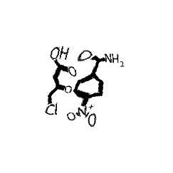 NC(=O)c1ccc([N+](=O)[O-])cc1.O=C(O)CC(=O)CCl